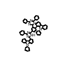 c1ccc(C2=NC(c3cccc4c3c3ccccc3n4-c3ccccc3)NC(c3ccc(-c4cccc5c6ccccc6n(-c6ccccc6)c45)c(-c4nc(-c5ccccc5)nc(-c5ccccc5)n4)c3)=N2)cc1